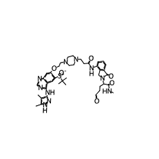 CNC(=O)C(CCC=O)N1Cc2c(NC(=O)CCN3CCN(CCOc4cc5ncnc(Nc6n[nH]c(C)c6C)c5cc4[S+]([O-])C(C)(C)C)CC3)cccc2C1=O